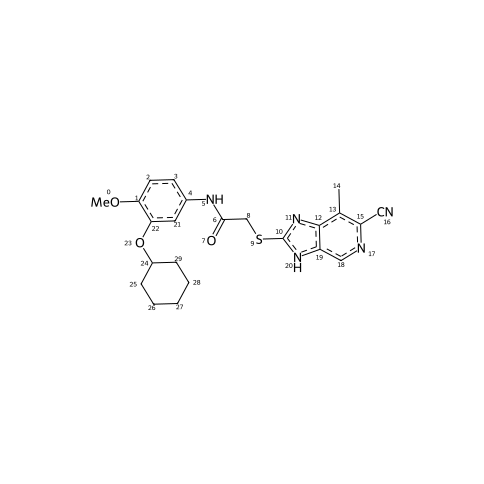 COc1ccc(NC(=O)CSc2nc3c(C)c(C#N)ncc3[nH]2)cc1OC1CCCCC1